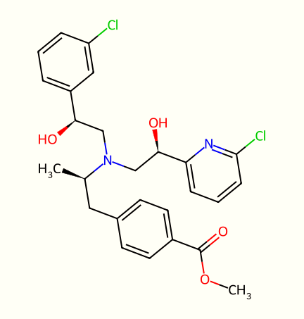 COC(=O)c1ccc(C[C@@H](C)N(C[C@@H](O)c2cccc(Cl)c2)C[C@@H](O)c2cccc(Cl)n2)cc1